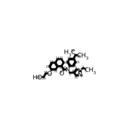 CCn1cc(CN(C(=O)C2CCCc3ccc(OCCO)cc32)c2ccc(C(C)C)cc2)cn1